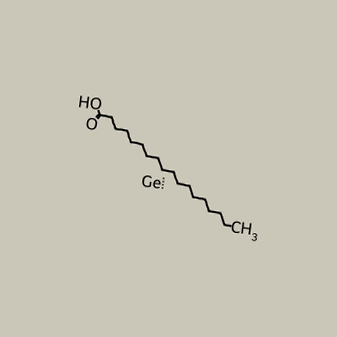 CCCCCCCCCCCCCCCCCC(=O)O.[Ge]